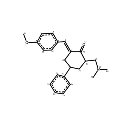 COc1ccc(/C=C2\CC(c3ccccc3)CC(CN(C)C)C2=O)cc1